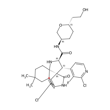 CC1(C)CCC2(CC1)N[C@@H](C(=O)N[C@@H]1CC[C@@H](CCO)OC1)[C@H](c1ccnc(Cl)c1F)[C@]21C(=O)Nc2cc(Cl)ccc21